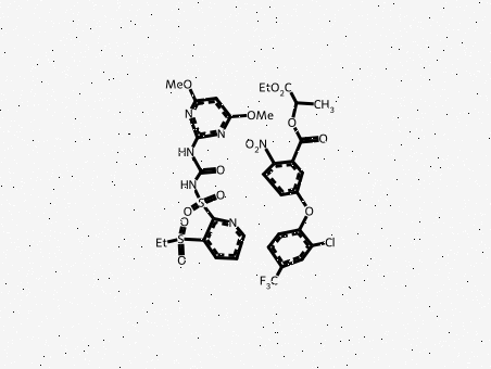 CCOC(=O)C(C)OC(=O)c1cc(Oc2ccc(C(F)(F)F)cc2Cl)ccc1[N+](=O)[O-].CCS(=O)(=O)c1cccnc1S(=O)(=O)NC(=O)Nc1nc(OC)cc(OC)n1